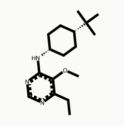 CCc1ncnc(N[C@H]2CC[C@@H](C(C)(C)C)CC2)c1OC